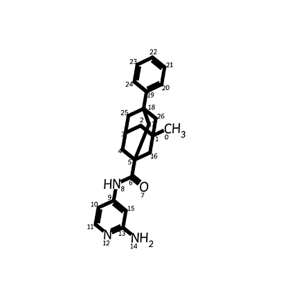 CC12CC3CC(C(=O)Nc4ccnc(N)c4)(C1)CC(c1ccccc1)(C3)C2